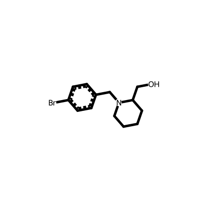 OCC1CCCCN1Cc1ccc(Br)cc1